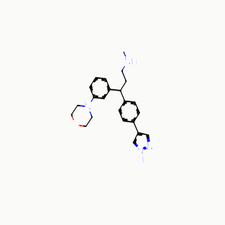 CNCCC(c1ccc(-c2cn[nH]c2)cc1)c1cccc(N2CCOCC2)c1